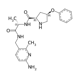 Cc1nc(N)ccc1CNC(=O)[C@H](C)NC(=O)[C@H]1C[C@@H](Oc2ccccc2)CN1